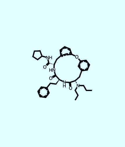 CCCN(CCC)[C@H]1Cc2cccc(c2)Oc2cccc(c2)C[C@@H](C(=O)NC2CCCC2)NC(=O)[C@H](CCc2ccccc2)NC1=O